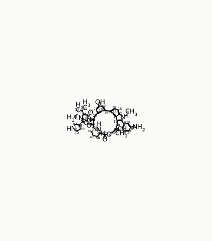 CCn1c(-c2cccc(N)c2)c2c3cc(ccc31)-c1cc(O)cc(c1)C[C@H](NC(=O)[C@H](C(C)C)N(C)C(=O)[C@H]1CCNC1)C(=O)N1CCC[C@H](N1)C(=O)OCC(C)(C)C2